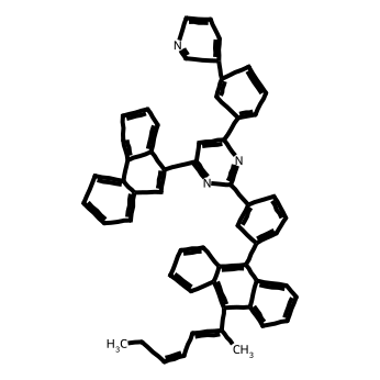 CC/C=C\C=C(/C)c1c2ccccc2c(-c2cccc(-c3nc(-c4cccc(-c5cccnc5)c4)cc(-c4cc5ccccc5c5ccccc45)n3)c2)c2ccccc12